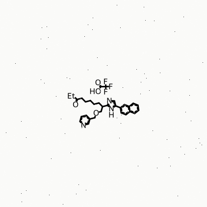 CCC(=O)CCCCCC(COCc1cccnc1)c1ncc(-c2ccc3ccccc3c2)[nH]1.O=C(O)C(F)(F)F